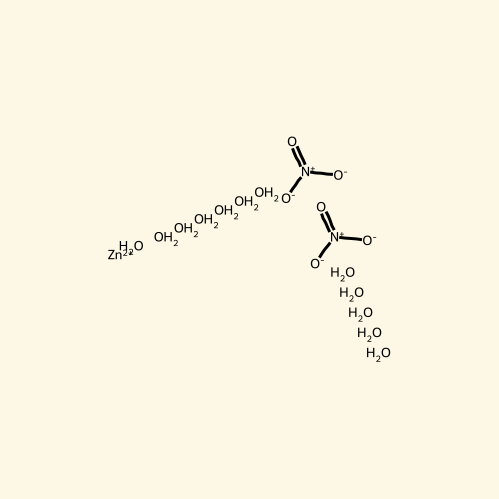 O.O.O.O.O.O.O.O.O.O.O.O.O=[N+]([O-])[O-].O=[N+]([O-])[O-].[Zn+2]